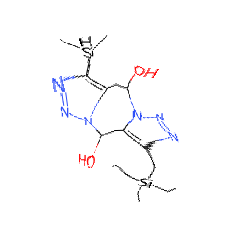 C[SiH](C)c1nnn2c1C(O)n1nnc([Si](C)(C)C)c1C2O